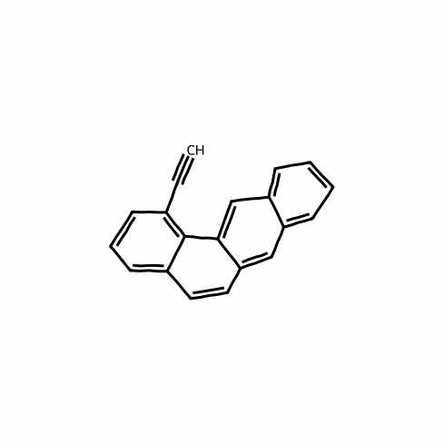 C#Cc1cccc2ccc3cc4ccccc4cc3c12